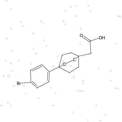 O=C(O)CC12CCC(c3ccc(Br)cc3)(CC1)OC2